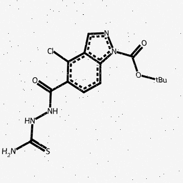 CC(C)(C)OC(=O)n1ncc2c(Cl)c(C(=O)NNC(N)=S)ccc21